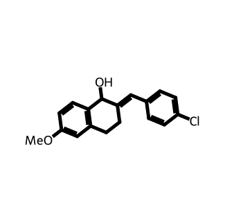 COc1ccc2c(c1)CCC(=Cc1ccc(Cl)cc1)C2O